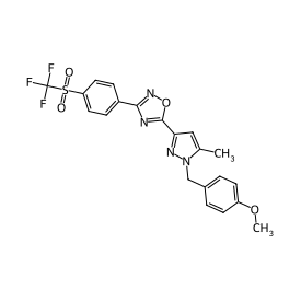 COc1ccc(Cn2nc(-c3nc(-c4ccc(S(=O)(=O)C(F)(F)F)cc4)no3)cc2C)cc1